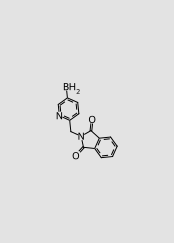 Bc1ccc(CN2C(=O)c3ccccc3C2=O)nc1